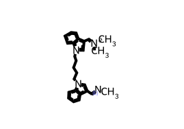 C/N=C/c1cn(CCCCCn2cc(C=[N+](C)C)c3ccccc32)c2ccccc12